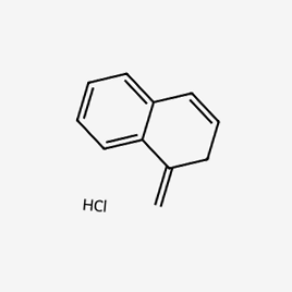 C=C1CC=Cc2ccccc21.Cl